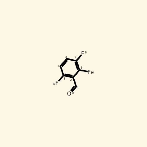 O=Cc1c(F)ccc(F)c1F